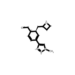 Cn1cc(C2=C[C@H](CC3CCO3)C(CCl)C=C2)nn1